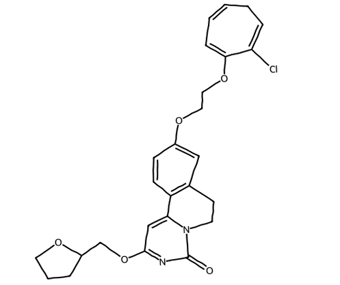 O=c1nc(OCC2CCCO2)cc2n1CCc1cc(OCCOC3=CC=CCC=C3Cl)ccc1-2